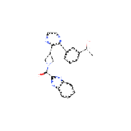 C[C@H](O)c1cccc(-c2nccnc2C2CN(C(=O)c3nc4ccccc4[nH]3)C2)c1